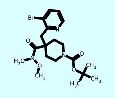 CON(C)C(=O)C1(Cc2ncccc2Br)CCN(C(=O)OC(C)(C)C)CC1